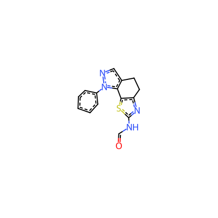 O=CNc1nc2c(s1)-c1c(cnn1-c1ccccc1)CC2